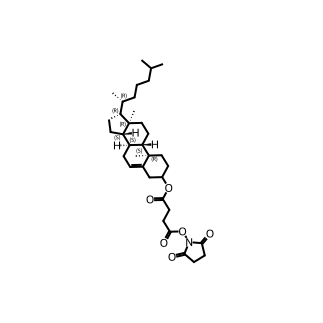 CC(C)CCC[C@@H](C)[C@H]1CC[C@H]2[C@@H]3CC=C4CC(OC(=O)CCC(=O)ON5C(=O)CCC5=O)CC[C@]4(C)[C@H]3CC[C@]12C